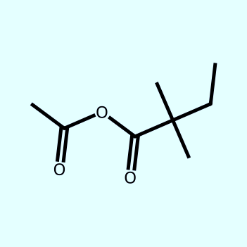 CCC(C)(C)C(=O)OC(C)=O